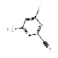 Cc1cc(I)cc(C#N)n1